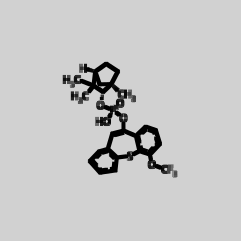 CC1(C)[C@@H]2CC[C@@](C)(C2)[C@@H]1OP(=O)(O)OC1=Cc2ccccc2Sc2c(OC(F)(F)F)cccc21